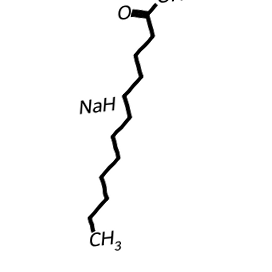 CCCCCCCCCCCC(=O)O.[NaH]